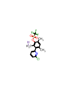 Cc1cc(C)c(-c2cccc(Cl)n2)c(C)c1OS(=O)(=O)C(F)(F)F.I